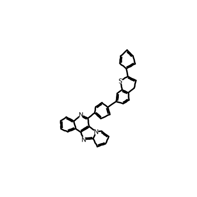 C1=C(c2ccccc2)Sc2cc(-c3ccc(-c4nc5ccccc5c5nc6ccccn6c45)cc3)ccc2C1